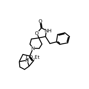 CCOC(=O)N1C2C=C(N3CCC4(CC3)OC(=O)NC4Cc3ccccc3)CC1CC2